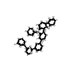 c1ccc(-c2ccnc(-c3cccc(-c4ccc5c6c7oc8ccccc8c7ccc6n(-c6ccccc6)c5c4)c3)n2)cc1